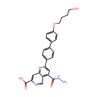 NNC(=O)c1cc(-c2ccc(-c3ccc(OCCCCO)cc3)cc2)nc2cc(C(=O)O)ncc12